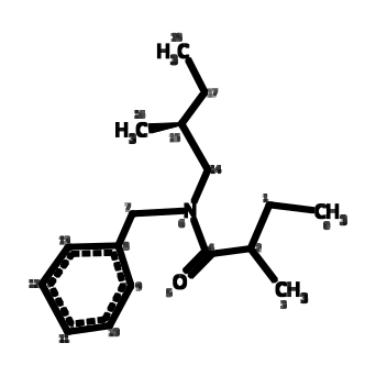 CCC(C)C(=O)N(Cc1ccccc1)C[C@@H](C)CC